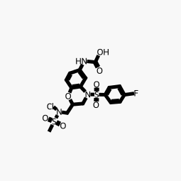 CS(=O)(=O)N(Cl)CC1CN(S(=O)(=O)c2ccc(F)cc2)c2cc(NC(=O)O)ccc2O1